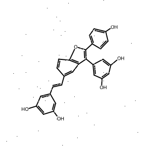 Oc1ccc(-c2oc3ccc(/C=C/c4cc(O)cc(O)c4)cc3c2-c2cc(O)cc(O)c2)cc1